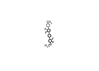 COc1ccc(-c2ccc(-c3ccc(C4CCC(C)CC4)c(F)c3F)cc2)c(F)c1F